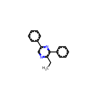 CCc1ncc(-c2ccccc2)nc1-c1ccccc1